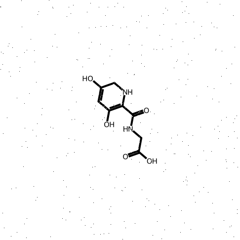 O=C(O)CNC(=O)C1=C(O)C=C(O)CN1